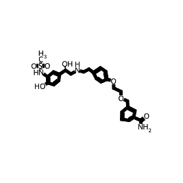 CS(=O)(=O)Nc1cc([C@H](O)CNCCc2ccc(OCCOCc3cccc(C(N)=O)c3)cc2)ccc1O